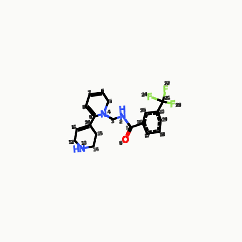 O=C(NCN1CC=CC=C1C1=CCNCC1)c1cccc(C(F)(F)F)c1